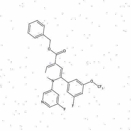 C/C=C(\C=C(\c1cc(F)cc(OC(F)(F)F)c1)N(C)c1cncc(F)c1)C(=O)OCc1ccccc1